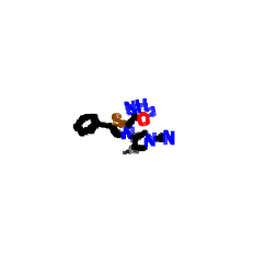 C[C@H]1CN(C#N)C[C@@H]1N1C=C(c2ccccc2)SC1C(N)=O